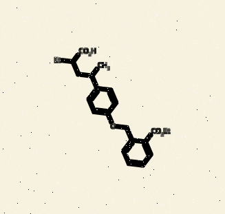 CCOC(=O)c1ccccc1COc1ccc(C(C)CC(CC)C(=O)O)cc1